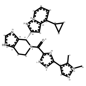 Cc1c(-c2nnc(C(=O)N3CCc4[nH]cnc4[C@@H]3c3cc4c(C5CC5)cccn4n3)o2)cnn1C